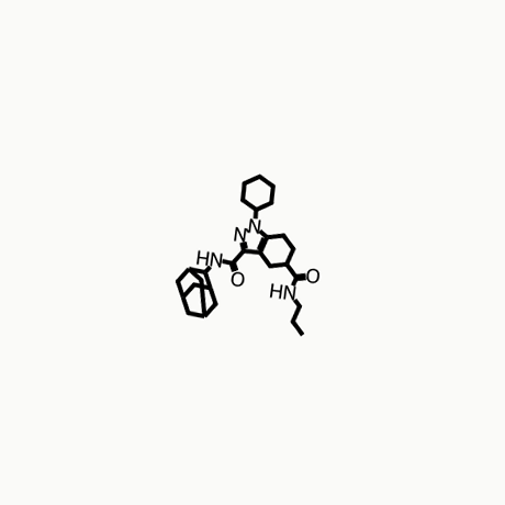 CCCNC(=O)C1CCc2c(c(C(=O)NC3C4CC5CC(C4)CC3C5)nn2C2CCCCC2)C1